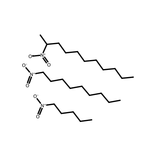 CCCCCCCCCC(C)[N+](=O)[O-].CCCCCCCCC[N+](=O)[O-].CCCCC[N+](=O)[O-]